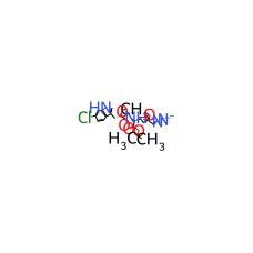 CO[C@@H](Cc1c[nH]c2cc(Cl)ccc12)C(=O)N[C@@H](CCC(=O)C=[N+]=[N-])C(=O)OC(C)C